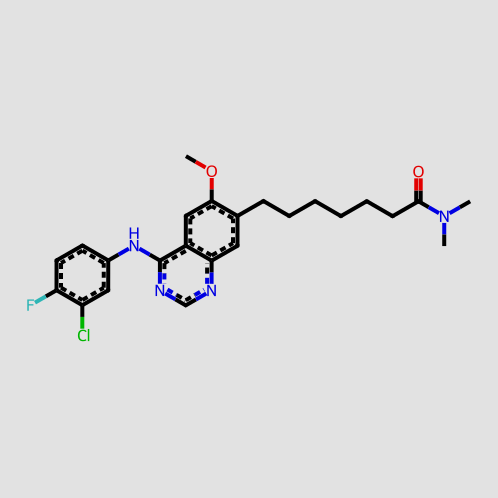 COc1cc2c(Nc3ccc(F)c(Cl)c3)ncnc2cc1CCCCCCC(=O)N(C)C